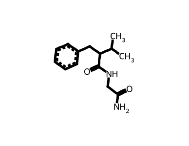 CC(C)C(Cc1ccccc1)C(=O)NCC(N)=O